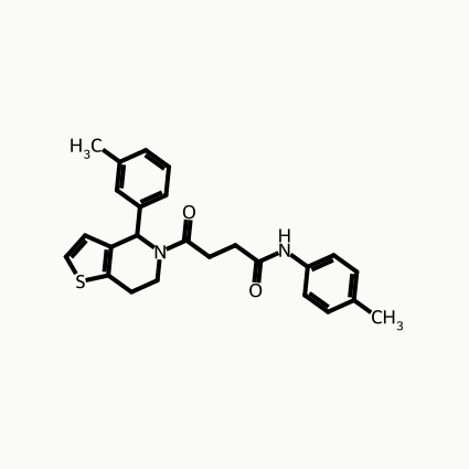 Cc1ccc(NC(=O)CCC(=O)N2CCc3sccc3C2c2cccc(C)c2)cc1